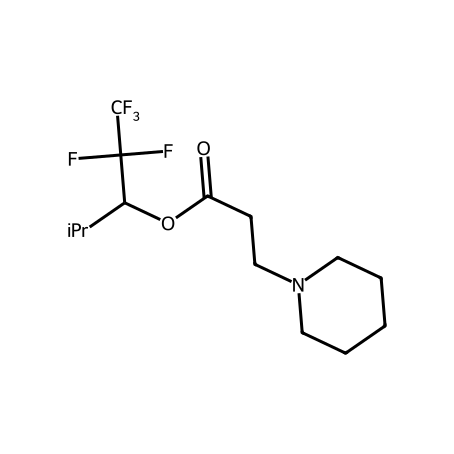 CC(C)C(OC(=O)CCN1CCCCC1)C(F)(F)C(F)(F)F